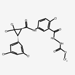 O=C(NNC(=O)c1cc(NC(=O)[C@H]2[C@H](c3cc(Cl)cc(Cl)c3)C2(Cl)Cl)ccc1Cl)OC(F)(F)F